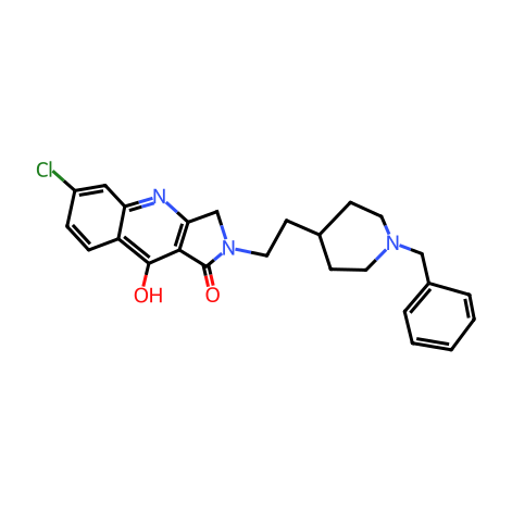 O=C1c2c(nc3cc(Cl)ccc3c2O)CN1CCC1CCN(Cc2ccccc2)CC1